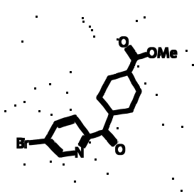 COC(=O)C1CCC(C(=O)c2ccc(Br)cn2)CC1